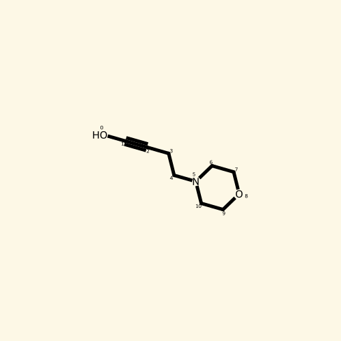 OC#CCCN1CCOCC1